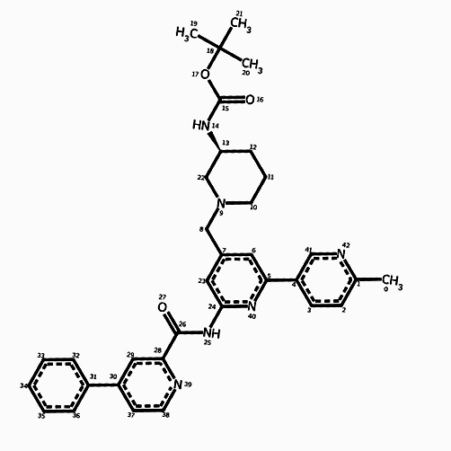 Cc1ccc(-c2cc(CN3CCC[C@H](NC(=O)OC(C)(C)C)C3)cc(NC(=O)c3cc(-c4ccccc4)ccn3)n2)cn1